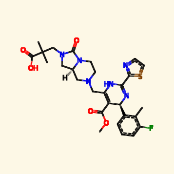 COC(=O)C1=C(CN2CCN3C(=O)N(CC(C)(C)C(=O)O)C[C@@H]3C2)NC(c2nccs2)=N[C@H]1c1cccc(F)c1C